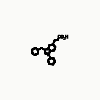 O=C(O)/C=C/c1ccc2c(c1)c(Cc1ccccc1)cn2-c1ccccc1